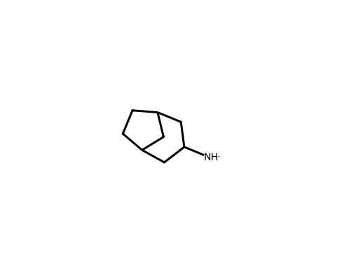 [NH]C1CC2CCC(C1)C2